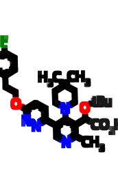 Cc1ncc(-c2ccc(OCCc3ccc(F)cc3)nn2)c(N2CCC(C)(C)CC2)c1C(OC(C)(C)C)C(=O)O